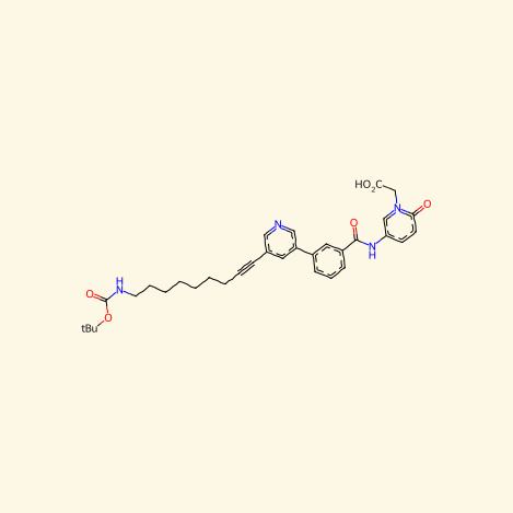 CC(C)(C)OC(=O)NCCCCCCCC#Cc1cncc(-c2cccc(C(=O)Nc3ccc(=O)n(CC(=O)O)c3)c2)c1